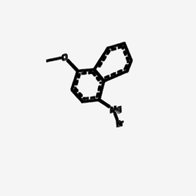 COc1cc[c]([Mg][Br])c2ccccc12